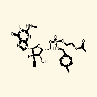 C#C[C@@]1(F)[C@H](O)[C@@H](COP(=O)(NCc2ccc(C)cc2)OCCSC(C)=O)O[C@H]1n1cnc2c(=O)[nH]c(NC)nc21